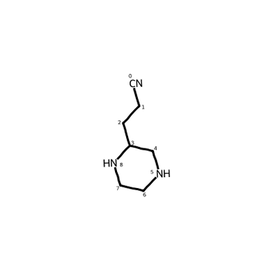 N#CCCC1CNCCN1